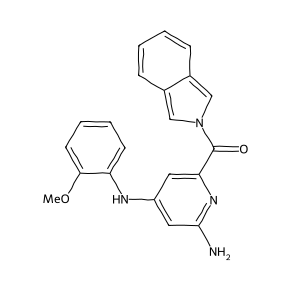 COc1ccccc1Nc1cc(N)nc(C(=O)n2cc3ccccc3c2)c1